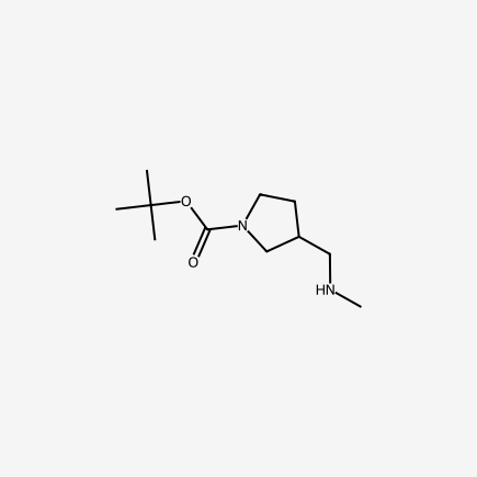 CNCC1CCN(C(=O)OC(C)(C)C)C1